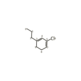 CCCC1=CC(Cl)=CCC1